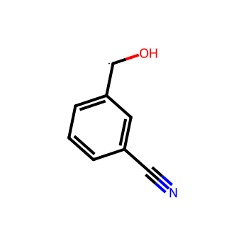 N#Cc1cccc([CH]O)c1